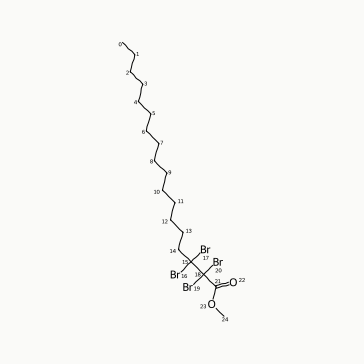 CCCCCCCCCCCCCCCC(Br)(Br)C(Br)(Br)C(=O)OC